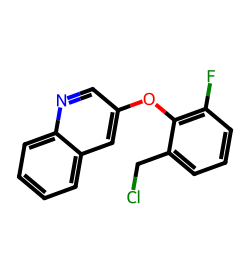 Fc1cccc(CCl)c1Oc1cnc2ccccc2c1